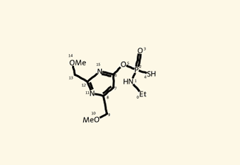 CCNP(=O)(S)Oc1cc(COC)nc(COC)n1